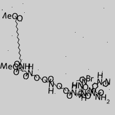 COC(=O)CCCCCCCCCCCCCCCCC(=O)N[C@@H](CCC(=O)NCCOCCOCC(=O)NCCOCCOCC(=O)NC[C@@]12C[C@@H](C(=O)Nc3nc(Br)ccc3C)N(C(=O)Cn3nc(C(N)=O)c4cc(Nc5cccnc5)ccc43)[C@@H]1C2)C(=O)OC